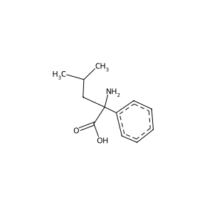 CC(C)CC(N)(C(=O)O)c1ccccc1